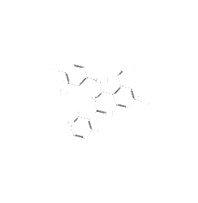 C=Cc1cc(Br)ccc1/C(=N\C(=C)c1cccnc1)Nc1ccc(F)c(Cl)c1